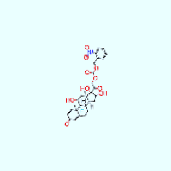 C[C@]12C=CC(=O)C=C1CC[C@H]1[C@@H]3C[C@@H](O)[C@](O)(C(=O)COC(=O)OCc4ccccc4[N+](=O)[O-])[C@@]3(C)C[C@H](O)[C@@]12F